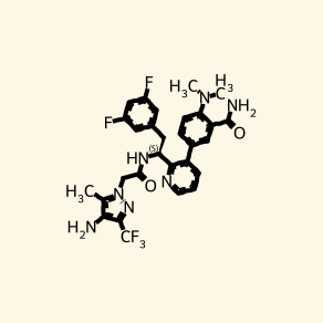 Cc1c(N)c(C(F)(F)F)nn1CC(=O)N[C@@H](Cc1cc(F)cc(F)c1)c1ncccc1-c1ccc(N(C)C)c(C(N)=O)c1